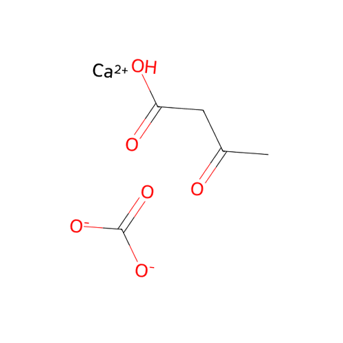 CC(=O)CC(=O)O.O=C([O-])[O-].[Ca+2]